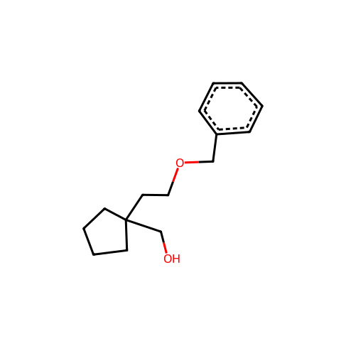 OCC1(CCOCc2ccccc2)CCCC1